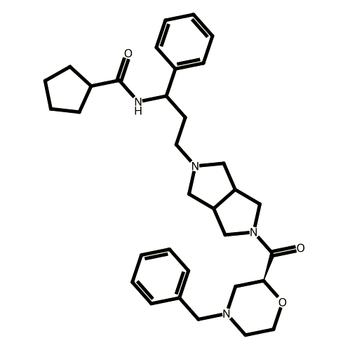 O=C(NC(CCN1CC2CN(C(=O)[C@@H]3CN(Cc4ccccc4)CCO3)CC2C1)c1ccccc1)C1CCCC1